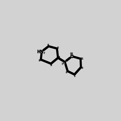 C1CCN(C2CCNCC2)OC1